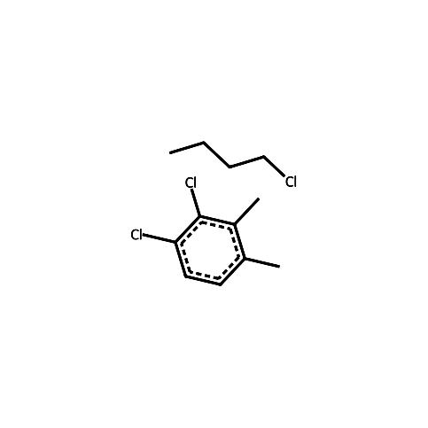 CCCCCl.Cc1ccc(Cl)c(Cl)c1C